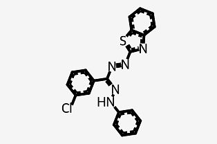 Clc1cccc(C(N=Nc2nc3ccccc3s2)=NNc2ccccc2)c1